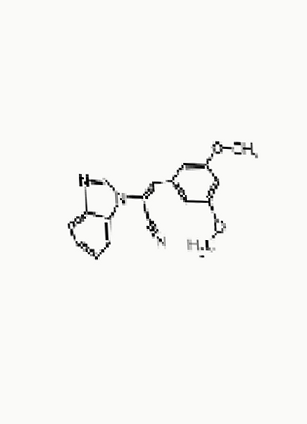 COc1cc(C=C(C#N)n2cnc3ccccc32)cc(OC)c1